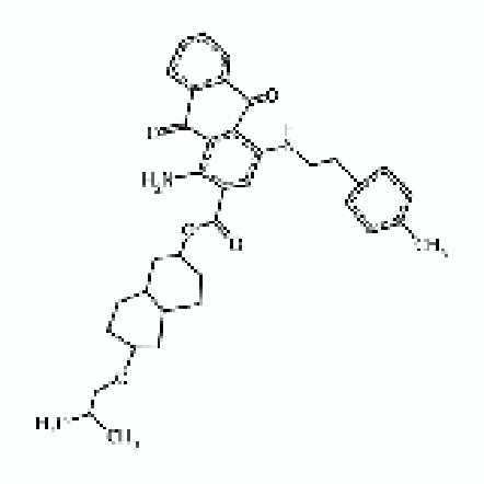 Cc1ccc(CCNc2cc(C(=O)OC3CCC4CC(OCC(C)C)CCC4C3)c(N)c3c2C(=O)c2ccccc2C3=O)cc1